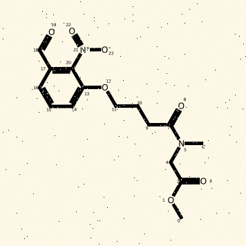 COC(=O)CN(C)C(=O)CCCOc1cccc(C=O)c1[N+](=O)[O-]